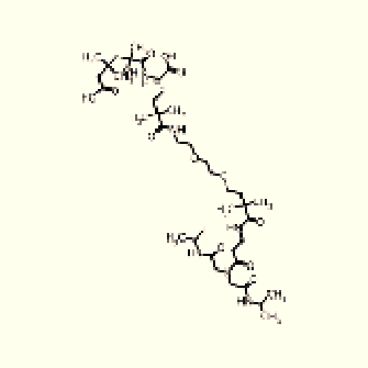 CC(C)NC(=O)CN(CC(=O)NC(C)I)C(=O)CCNC(=O)C(C)(C)CCOCCOCCNC(=O)C(C)(C)CC[C@H](NC(=O)C(C)(C)CC(C)(C)CC(=O)O)C(=O)O